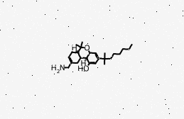 CCCCCCC(C)(C)C1=CC2OC(C)(C)[C@H]3CC=C(CN)CC3[C@@H]2C(O)=C1